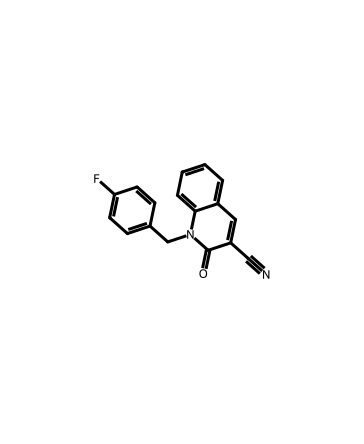 N#Cc1cc2ccccc2n(Cc2ccc(F)cc2)c1=O